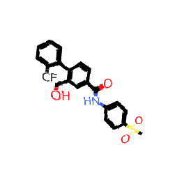 CS(=O)(=O)c1ccc(NC(=O)c2ccc(-c3ccccc3C(F)(F)F)c(CO)c2)cc1